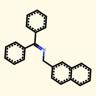 c1ccc(C(=NCc2ccc3ccccc3c2)c2ccccc2)cc1